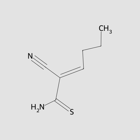 CCC/C=C(\C#N)C(N)=S